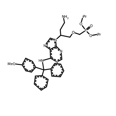 COc1ccc(C(Nc2ncnc3c2ncn3C(CCN)COCP(=O)(OC(C)C)OC(C)C)(c2ccccc2)c2ccccc2)cc1